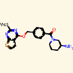 CSc1nc(OCc2ccc(C(=O)N3CCCC(N)C3)cc2)c2ccsc2n1